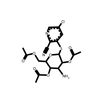 CC(=O)OCC1OC(Sc2cc(Cl)cnc2C#N)C(OC(C)=O)C(N)C1OC(C)=O